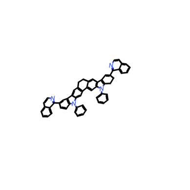 C1=C(c2nccc3ccccc23)CCc2c1c1cc3c(cc1n2-c1ccccc1)-c1cc2c(cc1CC3)c1cc(-c3nccc4ccccc34)ccc1n2-c1ccccc1